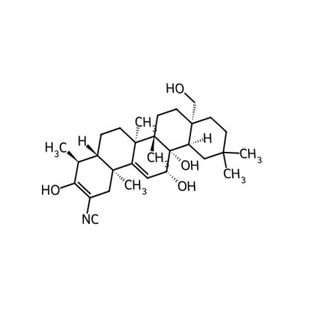 [C-]#[N+]C1=C(O)[C@@H](C)[C@@H]2CC[C@]3(C)C(=C[C@@H](O)[C@]4(O)[C@@H]5CC(C)(C)CC[C@]5(CO)CC[C@]43C)[C@@]2(C)C1